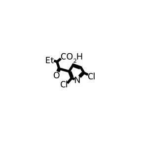 CCC(C(=O)O)C(=O)c1ccc(Cl)nc1Cl